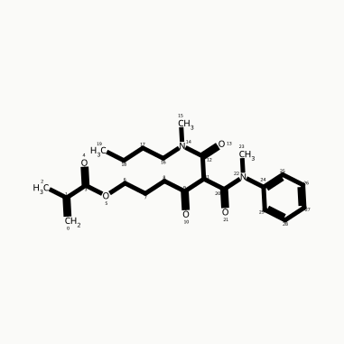 C=C(C)C(=O)OCCCC(=O)C(C(=O)N(C)CCCC)C(=O)N(C)c1ccccc1